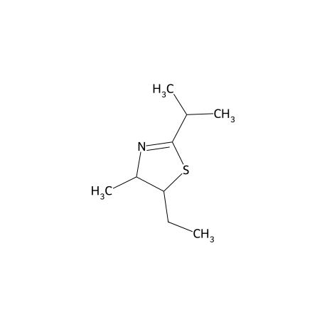 CCC1SC(C(C)C)=NC1C